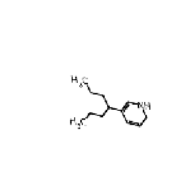 CCCC(CCC)C1=CNCC=C1